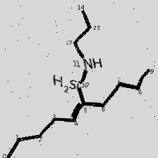 CCCCC=C(CCCC)[SiH2]NCCC